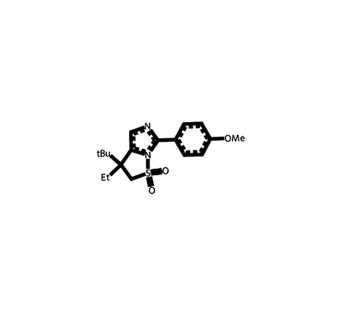 CCC1(C(C)(C)C)CS(=O)(=O)n2c1cnc2-c1ccc(OC)cc1